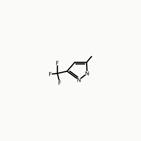 CC1=CC(C(F)(F)F)=N[N]1